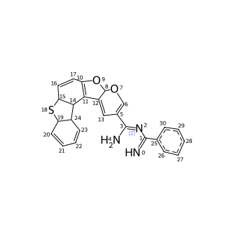 N=C(/N=C(\N)C1=COC2OC3=C(C2=C1)C1C(C=C3)SC2C=CC=CC21)c1ccccc1